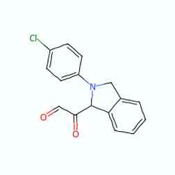 O=CC(=O)C1c2ccccc2CN1c1ccc(Cl)cc1